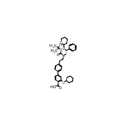 CC(C)(C)OC(=O)N(CCc1ccc(-c2ccc(C(=O)O)c(OC3CCCCC3)c2)cc1)C[C@H](OC1CCCCO1)c1ccccc1